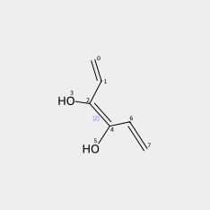 C=C/C(O)=C(/O)C=C